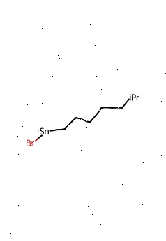 CC(C)CCCC[CH2][Sn][Br]